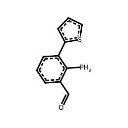 O=Cc1cccc(-c2cccs2)c1P